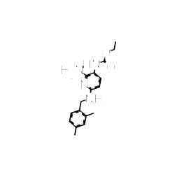 CCOC(=O)Nc1ccc(NCc2ccc(C)cc2C)nc1N